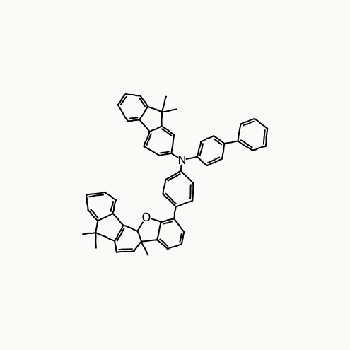 CC1(C)C2=C(c3ccccc31)C1Oc3c(-c4ccc(N(c5ccc(-c6ccccc6)cc5)c5ccc6c(c5)C(C)(C)c5ccccc5-6)cc4)cccc3C1(C)C=C2